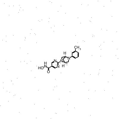 Cc1cccc(N2C[C@@H]3C[C@H]2CN3c2ncc(C(=O)NO)cn2)c1